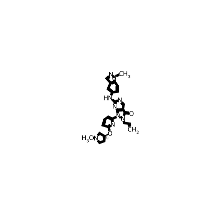 C=CCn1c(=O)c2cnc(Nc3ccc4c(cnn4C)c3)nc2n1-c1cccc(O[C@H]2CCN(C)C2)n1